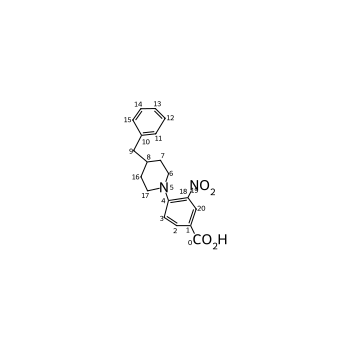 O=C(O)c1ccc(N2CCC(Cc3ccccc3)CC2)c([N+](=O)[O-])c1